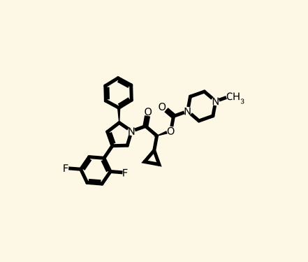 CN1CCN(C(=O)O[C@H](C(=O)N2CC(c3cc(F)ccc3F)=C[C@H]2c2ccccc2)C2CC2)CC1